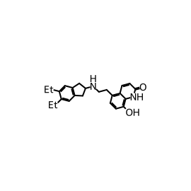 CCc1cc2c(cc1CC)CC(NCCc1ccc(O)c3[nH]c(=O)ccc13)C2